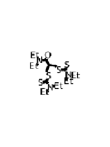 CCN(CC)C(=O)C(CSC(=S)N(CC)CC)CSC(=S)N(CC)CC